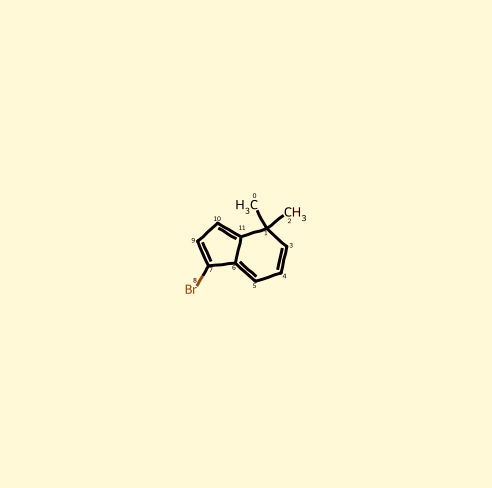 CC1(C)C=CC=C2C(Br)=CC=C21